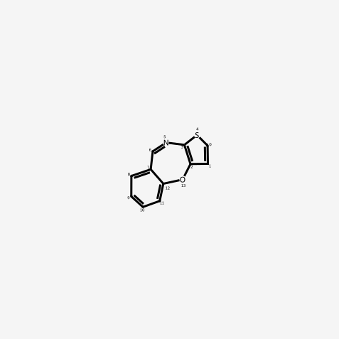 [c]1cc2c(s1)N=Cc1ccccc1O2